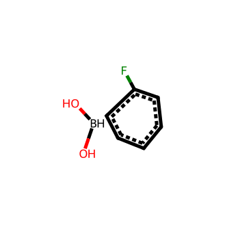 Fc1ccccc1.OBO